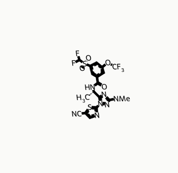 CNc1nc([C@H](C)NC(=O)c2cc(OC(F)(F)F)cc(S(=O)(=O)C(F)F)c2)n(-c2ncc(C#N)s2)n1